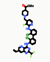 C=Cc1cnc2c(Nc3cccc(-c4cccc(Nc5nccc(CN6CCC(C(=O)OC)CC6)c5F)c4Cl)c3Cl)nc(C(F)F)nc2c1